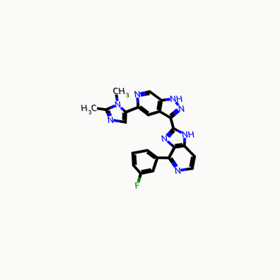 Cc1ncc(-c2cc3c(-c4nc5c(-c6cccc(F)c6)nccc5[nH]4)n[nH]c3cn2)n1C